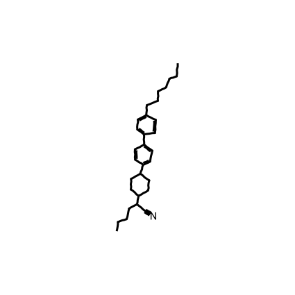 CCCCCCCc1ccc(-c2ccc(C3CCC(C(C#N)CCCC)CC3)cc2)cc1